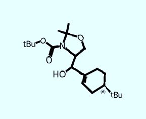 CC(C)(C)OC(=O)N1C(C(O)C2=CC[C@H](C(C)(C)C)CC2)COC1(C)C